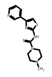 CN1CCN(C(=S)Nc2nc(-c3cccnc3)cs2)CC1